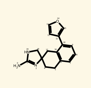 NC1=NC2(CCc3cccc(-c4ccoc4)c3C2)CN1